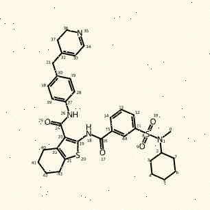 CN(C1CCCCC1)S(=O)(=O)c1cccc(C(=O)Nc2sc3c(c2C(=O)Nc2ccc(CC4=CC=NCC4)cc2)CCCC3)c1